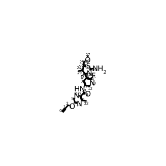 C#CCOc1cnc(C(=O)Nc2cnc(F)c([C@@]3(C)N=C(N)S[C@](C)(COC)C3C)c2)c(C)n1